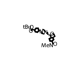 CNC(=O)c1ccc2c(c1)CCO[C@H]2CCN1CCN(c2ccc(C(=O)OC(C)(C)C)cc2)CC1